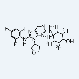 [2H]C1C(O)C([2H])C([2H])C([2H])(Nc2ncc3nc(Nc4c(F)cc(F)cc4F)n(C4CCOC4)c3n2)C1[2H]